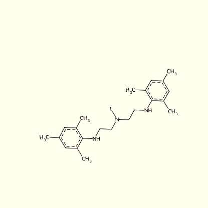 Cc1cc(C)c(NCCN(I)CCNc2c(C)cc(C)cc2C)c(C)c1